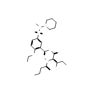 C=C(CCC)N1N=C(c2cc(S(=O)(=O)N(C)N3CCCCC3)ccc2OCC)NC(=O)/C1=C(/N)CC